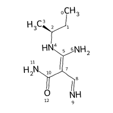 CC[C@H](C)N/C(N)=C(/C=N)C(N)=O